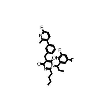 CCCCc1nc(=O)c(Cc2cccc(-c3ccc(F)nc3C)c2)c(O)n1C(CC)c1cc(F)cc(F)c1